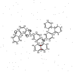 c1ccc(-c2ccccc2-c2ccc(N(c3ccccc3)c3ccc(-c4nc5ccc6oc7ccccc7c6c5o4)cc3-c3ccccc3)cc2)cc1